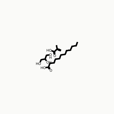 C=C(C)C(=O)O.CCCCCCCCCCCC(=O)O.OCC(O)CO